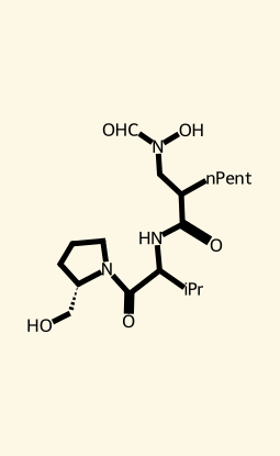 CCCCCC(CN(O)C=O)C(=O)NC(C(=O)N1CCC[C@H]1CO)C(C)C